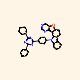 c1ccc(-c2nc(-c3ccccc3)nc(-c3ccc(-n4c5ccccc5c5ccc6oc7cncnc7c6c54)cc3)n2)cc1